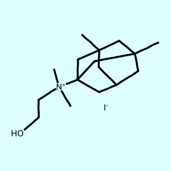 CC12CC3CC(C)(C1)CC([N+](C)(C)CCO)(C3)C2.[I-]